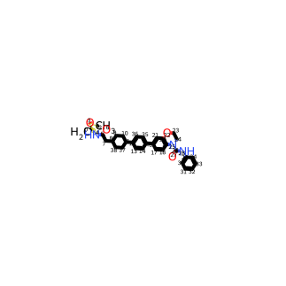 C=S(C)(=O)NC(=O)CC1CCC(c2ccc(-c3ccc4c(c3)OCCN4C(=O)Nc3ccccc3)cc2)CC1